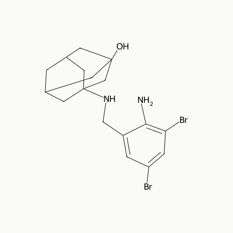 Nc1c(Br)cc(Br)cc1CNC12CC3CC(CC(O)(C3)C1)C2